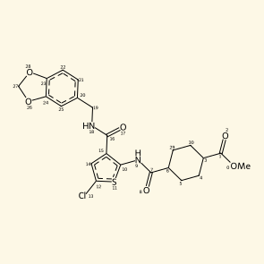 COC(=O)C1CCC(C(=O)Nc2sc(Cl)cc2C(=O)NCc2ccc3c(c2)OCO3)CC1